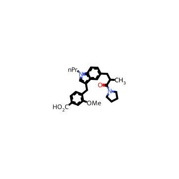 CCCn1cc(Cc2ccc(C(=O)O)cc2OC)c2cc(CC(C)C(=O)N3CCCC3)ccc21